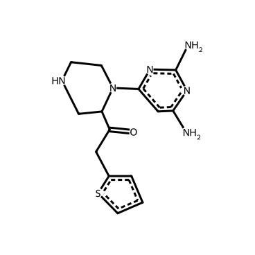 Nc1cc(N2CCNCC2C(=O)Cc2cccs2)nc(N)n1